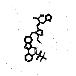 CCc1ncc(/C=C(\Cc2cccs2)C(=O)O)n1Cc1ccc2oc(-c3ccccc3NS(=O)(=O)C(F)(F)F)c(Br)c2c1